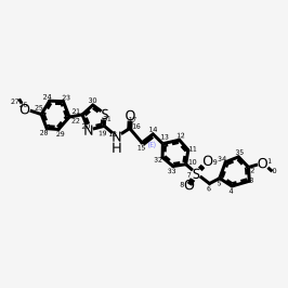 COc1ccc(CS(=O)(=O)c2ccc(/C=C/C(=O)Nc3nc(-c4ccc(OC)cc4)cs3)cc2)cc1